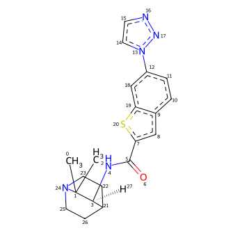 CC1(C)[C@@H](NC(=O)c2cc3ccc(-n4ccnn4)cc3s2)C2CCN1CC2